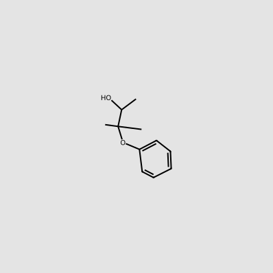 CC(O)C(C)(C)Oc1ccccc1